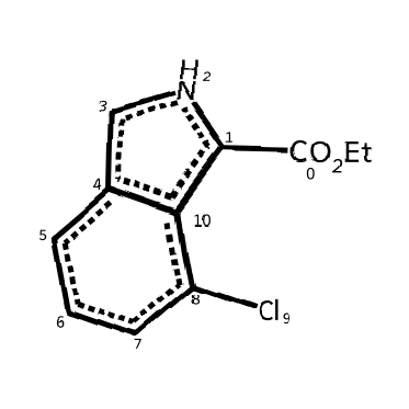 CCOC(=O)c1[nH]cc2cccc(Cl)c12